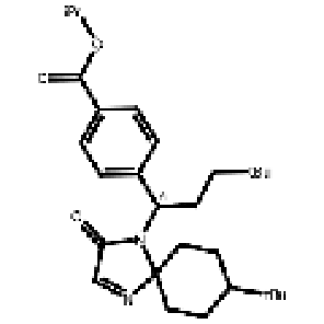 CC(C)OC(=O)c1ccc([C@@H](CCC(C)(C)C)N2C(=O)C=NC23CCC(C(C)(C)C)CC3)cc1